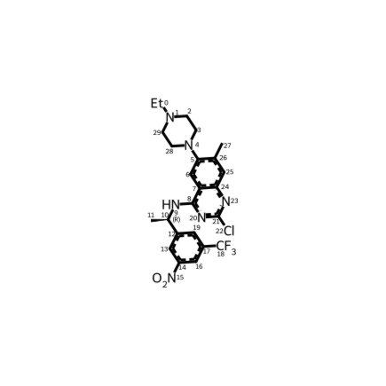 CCN1CCN(c2cc3c(N[C@H](C)c4cc([N+](=O)[O-])cc(C(F)(F)F)c4)nc(Cl)nc3cc2C)CC1